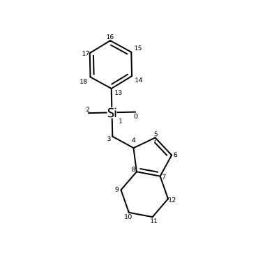 C[Si](C)(CC1[C]=CC2=C1CCCC2)c1ccccc1